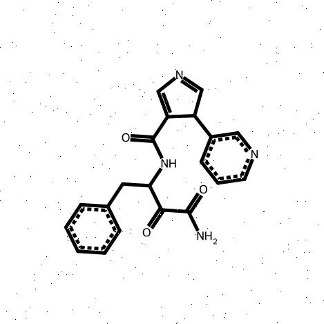 NC(=O)C(=O)C(Cc1ccccc1)NC(=O)C1=CN=CC1c1cccnc1